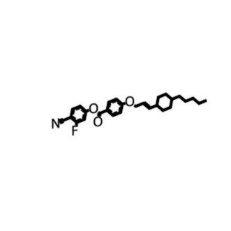 CCCCCC1CCC(C=CCOc2ccc(C(=O)Oc3ccc(C#N)c(F)c3)cc2)CC1